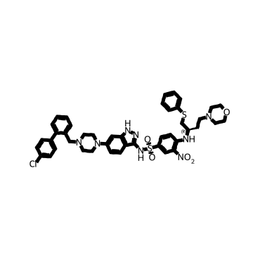 O=[N+]([O-])c1cc(S(=O)(=O)Nc2n[nH]c3cc(N4CCN(Cc5ccccc5-c5ccc(Cl)cc5)CC4)ccc23)ccc1N[C@H](CCN1CCOCC1)CSc1ccccc1